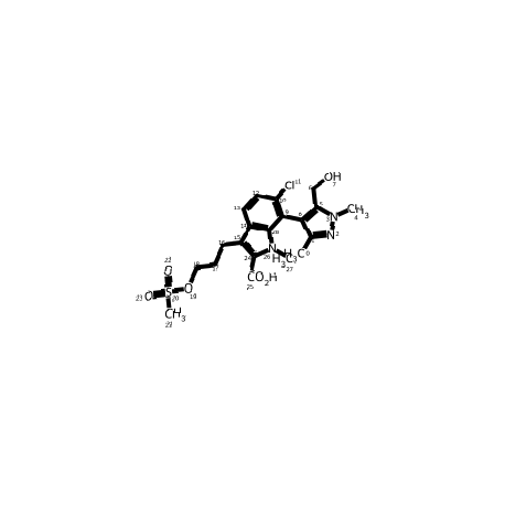 Cc1nn(C)c(CO)c1-c1c(Cl)ccc2c(CCCOS(C)(=O)=O)c(C(=O)O)n(C)c12